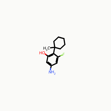 CC1(c2c(O)cc(N)cc2F)CCCCC1